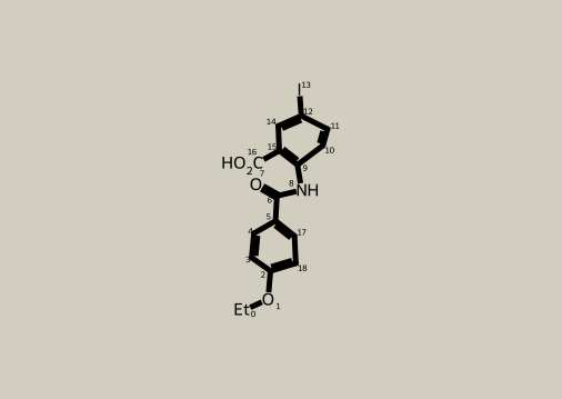 CCOc1ccc(C(=O)Nc2ccc(I)cc2C(=O)O)cc1